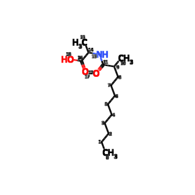 CCCCCCCCCC(C)C(=O)NC(C)C(=O)O